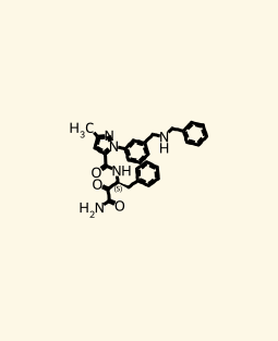 Cc1cc(C(=O)N[C@@H](Cc2ccccc2)C(=O)C(N)=O)n(-c2cccc(CNCc3ccccc3)c2)n1